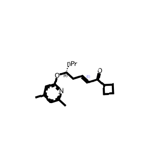 CCC[C@H](C/C=C/C(=O)C1CCC1)Oc1cc(C)cc(C)n1